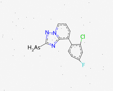 Fc1ccc(-c2cccn3nc([AsH2])nc23)c(Cl)c1